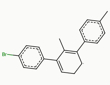 CC1=C(c2ccc(C)cc2)[CH]CC=C1c1ccc(Br)cc1